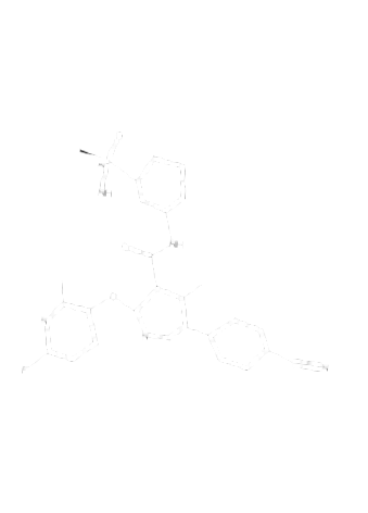 Cc1nc(F)ccc1Oc1ncc(-c2ccc(C#N)cc2)c(C)c1C(=O)Nc1cccc([S@](C)(=N)=O)c1